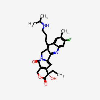 CC[C@@]1(O)C(=O)OCc2c1cc1n(c2=O)Cc2c-1nc1cc(F)c(C)cc1c2CCCNC(C)C